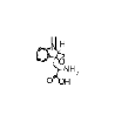 N[C@@H](C[C@@]12OC[C@@H]1Nc1ccccc12)C(=O)O